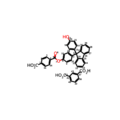 O=C(O)c1ccc(C(=O)Oc2ccc(C3(c4ccc(O)cc4)c4ccccc4-c4ccccc43)cc2)cc1.O=C(O)c1cccc(C(=O)O)c1